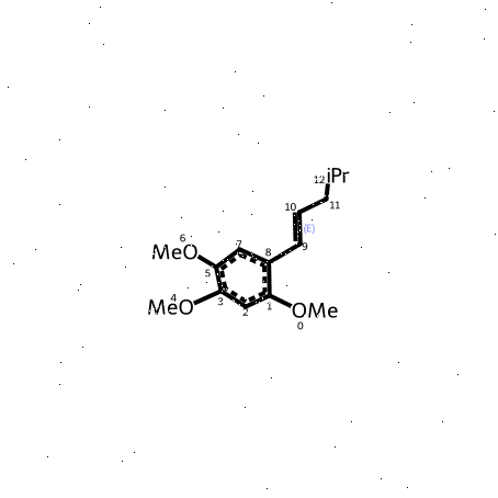 COc1cc(OC)c(OC)cc1/C=C/CC(C)C